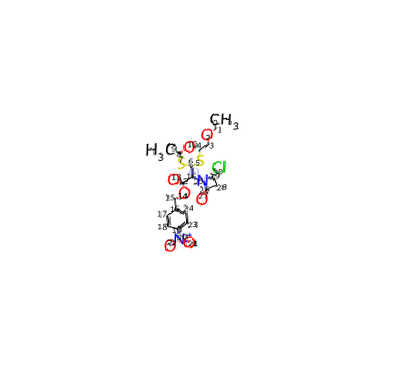 CCOCCS/C(SC(C)=O)=C(/C(=O)OCc1ccc([N+](=O)[O-])cc1)N1C(=O)CC1Cl